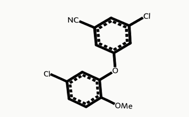 COc1ccc(Cl)cc1Oc1cc(Cl)cc(C#N)c1